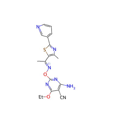 CCOc1nc(O/N=C(\C)c2sc(-c3cccnc3)nc2C)nc(N)c1C#N